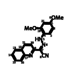 COc1ccc(N/N=C(/C#N)c2ccc3ccccc3n2)c(OC)c1